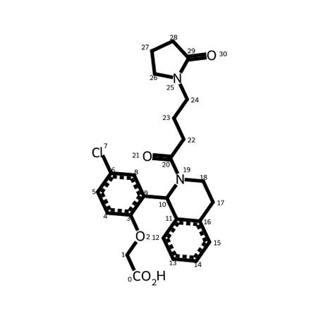 O=C(O)COc1ccc(Cl)cc1C1c2ccccc2CCN1C(=O)CCCN1CCCC1=O